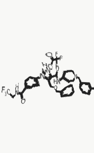 O=C(NCC(F)(F)F)c1ccc(-n2nnc(C(=O)NC3CCN(Cc4ccccc4)CC3)c2COCc2ccccc2)cc1.O=C(O)C(F)(F)F